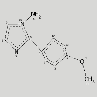 COc1ccc(-c2nccn2N)cc1